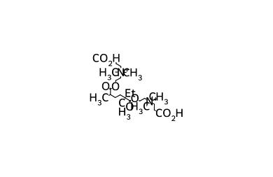 CCC(C)(CCC(C)C(=O)OCC[N+](C)(C)CCC(=O)O)C(=O)OCC[N+](C)(C)CCC(=O)O